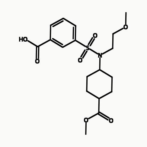 COCCN(C1CCC(C(=O)OC)CC1)S(=O)(=O)c1cccc(C(=O)O)c1